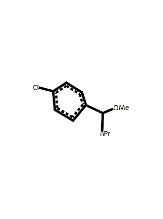 [CH2]CCC(OC)c1ccc(Cl)cc1